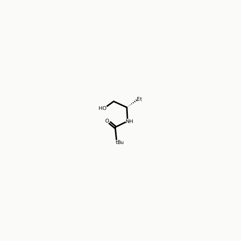 CC[C@@H](CO)NC(=O)C(C)(C)C